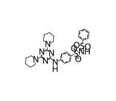 O=S(=O)(NS(=O)(=O)c1ccc(Nc2nc(N3CCCCC3)nc(N3CCCCC3)n2)cc1)c1ccccc1